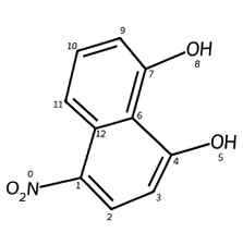 O=[N+]([O-])c1ccc(O)c2c(O)cccc12